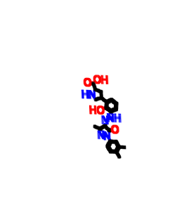 CC1=NN(c2ccc(C)c(C)c2)C(=O)C1=NNc1cccc(C2CNC(C(=O)O)C2)c1O